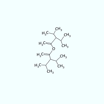 C=C(OC(=C)C(C(C)C)C(C)C)C(C(C)C)C(C)C